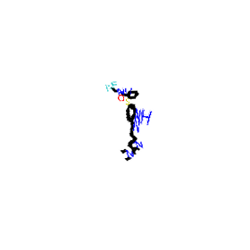 CCN(CC)Cc1ccc(/C=C/c2n[nH]c3cc(Sc4ccccc4C(=O)NCC(F)F)ccc23)nc1